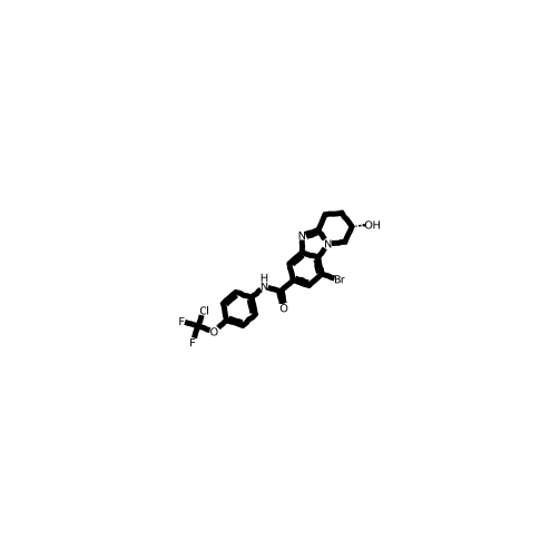 O=C(Nc1ccc(OC(F)(F)Cl)cc1)c1cc(Br)c2c(c1)nc1n2C[C@@H](O)CC1